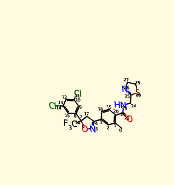 Cc1cc(C2=NOC(c3cc(Cl)cc(Cl)c3)(C(F)(F)F)C2)ccc1C(=O)NCC1=NCCS1